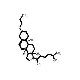 CCCO[C@H]1CC[C@@]2(C)C(=CC[C@@H]3C2CC[C@@]2(C)C3CC[C@@H]2[C@H](C)CCCC(C)C)C1